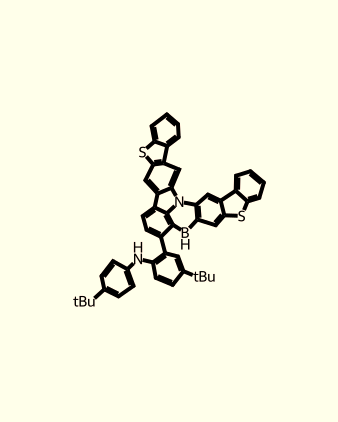 CC(C)(C)c1ccc(Nc2ccc(C(C)(C)C)cc2-c2ccc3c4cc5sc6ccccc6c5cc4n4c3c2Bc2cc3sc5ccccc5c3cc2-4)cc1